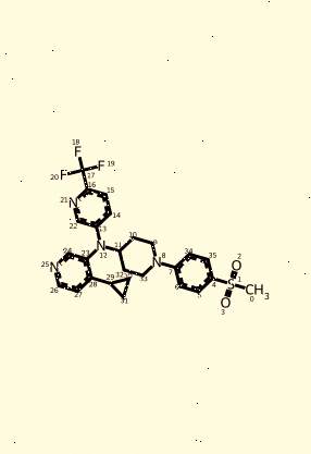 CS(=O)(=O)c1ccc(N2CCC(N(c3ccc(C(F)(F)F)nc3)c3cnccc3C3CC3)CC2)cc1